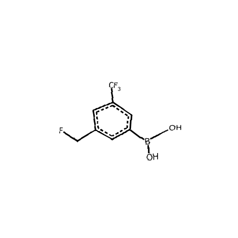 OB(O)c1cc(CF)cc(C(F)(F)F)c1